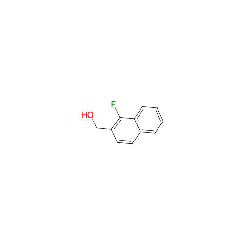 OCc1ccc2ccccc2c1F